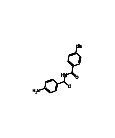 CC(C)(C)c1ccc(C(=O)NC(Cl)c2ccc(N)cc2)cc1